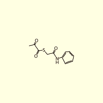 CC(=O)C(=O)SCC(=O)Nc1ccccc1